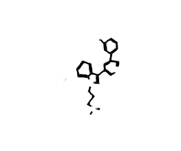 COc1cccc2c(-c3cncc(-c4cccc(Cl)c4)c3)cn(CCCN(C)C)c12